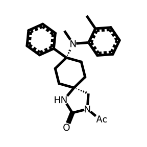 CC(=O)N1C[C@]2(CC[C@@](c3ccccc3)(N(C)c3ccccc3C)CC2)NC1=O